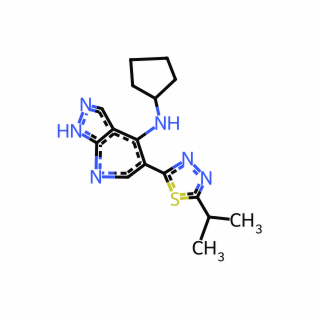 CC(C)c1nnc(-c2cnc3[nH]ncc3c2NC2CCCC2)s1